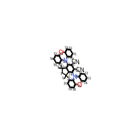 CC1(C)CC(C)(C)c2c(N3c4ccccc4Oc4ccccc43)c(C#N)c(C#N)c(N3c4ccccc4Oc4ccccc43)c21